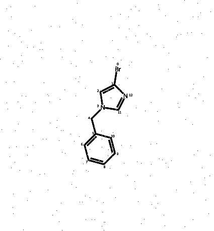 Brc1cn(Cc2ccccc2)cn1